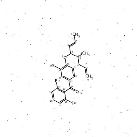 C=CCN(C)C(/C=C/C)Oc1ccc(C(=O)c2c(F)cccc2F)cc1F